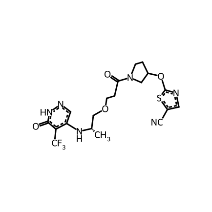 C[C@@H](COCCC(=O)N1CCC(Oc2ncc(C#N)s2)C1)Nc1cn[nH]c(=O)c1C(F)(F)F